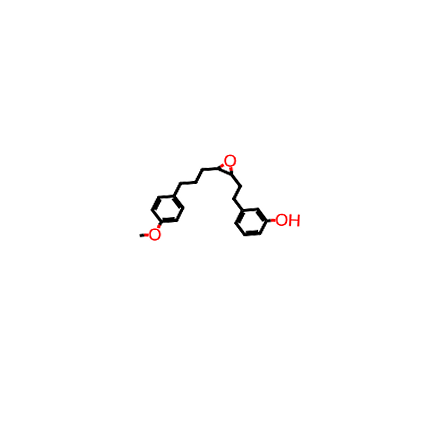 COc1ccc(CCCC2OC2CCc2cccc(O)c2)cc1